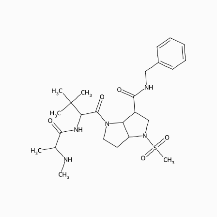 CNC(C)C(=O)NC(C(=O)N1CCC2C1C(C(=O)NCc1ccccc1)CN2S(C)(=O)=O)C(C)(C)C